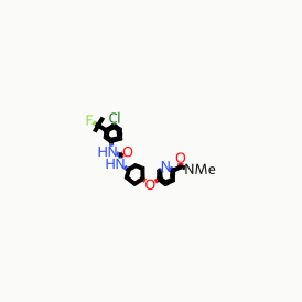 CNC(=O)c1ccc(OC2CCC(NC(=O)Nc3ccc(Cl)c(C(C)(C)F)c3)CC2)cn1